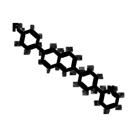 Fc1ccc(-c2ccc3cc(-c4ccc(-c5ccccn5)cc4)ccc3c2)cc1